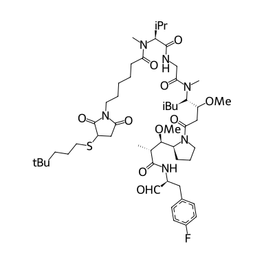 CC[C@H](C)[C@@H](C(CC(=O)N1CCC[C@H]1[C@H](OC)[C@@H](C)C(=O)N[C@H](C=O)Cc1ccc(F)cc1)OC)N(C)C(=O)CNC(=O)[C@H](C(C)C)N(C)C(=O)CCCCCN1C(=O)CC(SCCCC(C)(C)C)C1=O